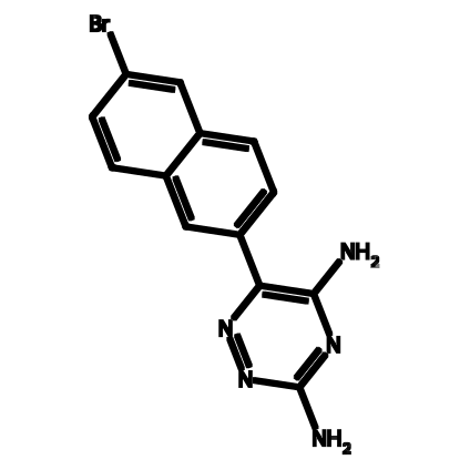 Nc1nnc(-c2ccc3cc(Br)ccc3c2)c(N)n1